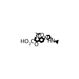 C[C@H]1COc2c(N3CC[C@@H](CNC4CC4)C3)ccc3c(=O)c(C(=O)O)cn1c23